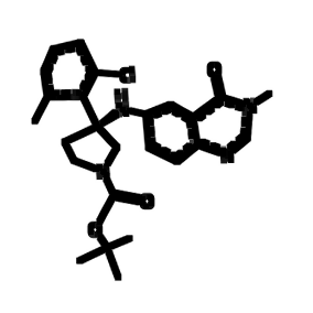 Cc1cccc(Cl)c1[C@@]1(Nc2ccc3ncn(C)c(=O)c3c2)CCN(C(=O)OC(C)(C)C)C1